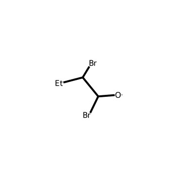 CCC(Br)C([O])Br